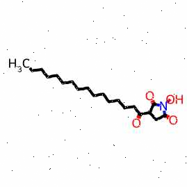 CCCCCCCCCCCCCCCC(=O)C1CC(=O)N(O)C1=O